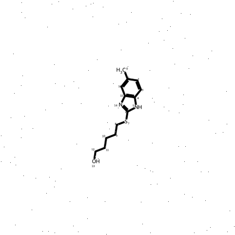 Cc1ccc2[nH]c(SCCCCCO)nc2c1